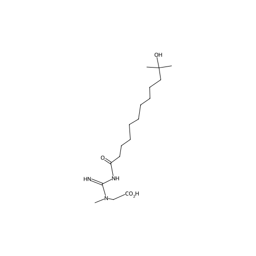 CN(CC(=O)O)C(=N)NC(=O)CCCCCCCCCC(C)(C)O